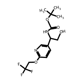 CC(C)(C)OC(=O)NC(CO)c1ccc(OCC(F)(F)F)nc1